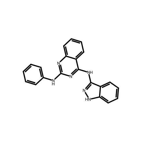 c1ccc(Nc2nc(Nc3n[nH]c4ccccc34)c3ccccc3n2)cc1